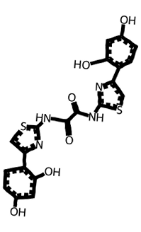 O=C(Nc1nc(-c2ccc(O)cc2O)cs1)C(=O)Nc1nc(-c2ccc(O)cc2O)cs1